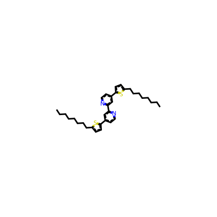 CCCCCCCCc1ccc(-c2ccnc(-c3cc(-c4ccc(CCCCCCCC)s4)ccn3)c2)s1